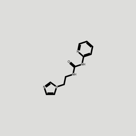 O=C(NCCn1ccnc1)Nc1ccccn1